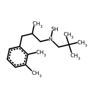 Cc1cccc(CC(C)CN(S)CC(C)(C)C)c1C